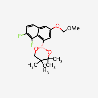 COCOc1cc(B2OCC(C)(C)C(C)(C)O2)c2c(F)c(F)ccc2c1